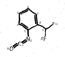 O=C=Nc1cc[c]cc1C(F)F